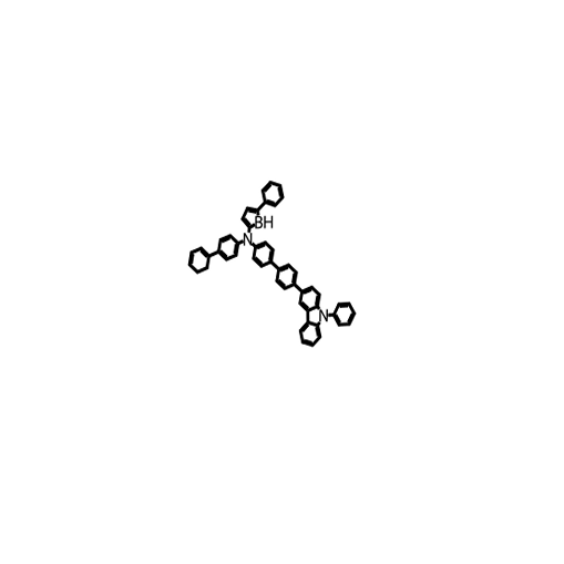 B1C(c2ccccc2)=CC=C1N(c1ccc(C2=CC=CCC2)cc1)c1ccc(-c2ccc(-c3ccc4c(c3)c3ccccc3n4-c3ccccc3)cc2)cc1